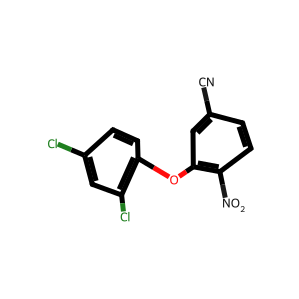 N#Cc1ccc([N+](=O)[O-])c(Oc2ccc(Cl)cc2Cl)c1